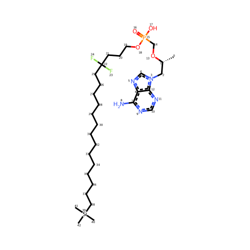 C[C@H](Cn1cnc2c(N)ncnc21)OCP(=O)(O)OCCCC(F)(F)CCCCCCCCCCCCCC[Si](C)(C)C